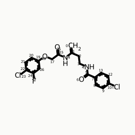 C=C(CCNC(=O)c1ccc(Cl)cc1)NC(=O)COc1ccc(Cl)c(F)c1